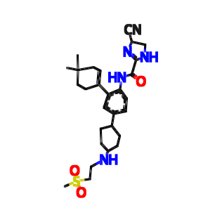 CC1(C)CC=C(c2cc(C3CCC(NCCS(C)(=O)=O)CC3)ccc2NC(=O)C2=NC(C#N)CN2)CC1